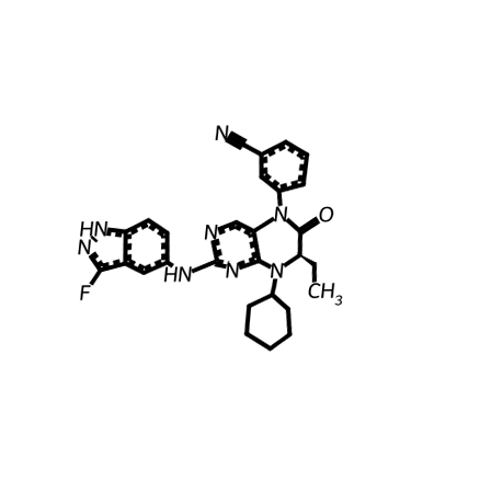 CC[C@@H]1C(=O)N(c2cccc(C#N)c2)c2cnc(Nc3ccc4[nH]nc(F)c4c3)nc2N1C1CCCCC1